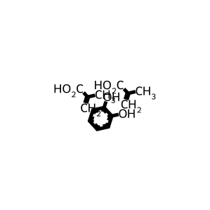 C=C(C)C(=O)O.C=C(C)C(=O)O.Oc1ccccc1O